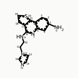 Nc1ccc2c(c1)nc(NCCn1ccnc1)c1ccsc12